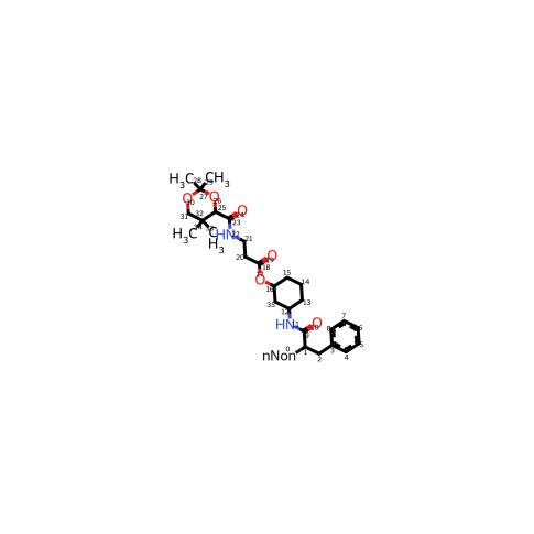 CCCCCCCCCC(Cc1ccccc1)C(=O)NC1CCCC(OC(=O)CCNC(=O)C2OC(C)(C)OCC2(C)C)C1